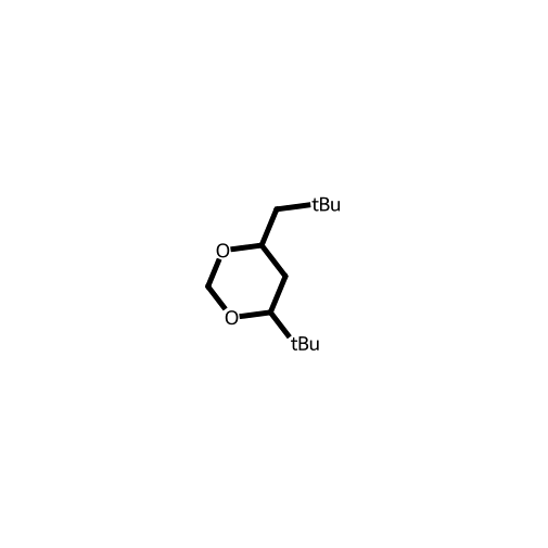 CC(C)(C)CC1CC(C(C)(C)C)OCO1